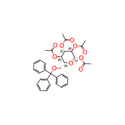 CC(=O)O[C@@H]1O[C@H](COC(c2ccccc2)(c2ccccc2)c2ccccc2)[C@@H](OC(C)=O)[C@H](OC(C)=O)[C@H]1OC(C)=O